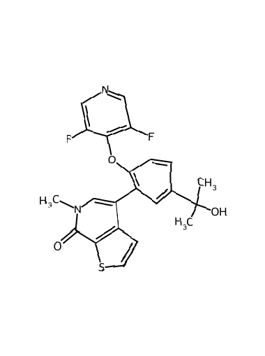 Cn1cc(-c2cc(C(C)(C)O)ccc2Oc2c(F)cncc2F)c2ccsc2c1=O